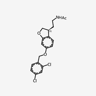 CC(=O)NCC[C@@H]1COc2cc(OCc3ccc(Cl)cc3Cl)ccc21